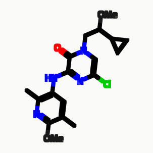 COc1nc(C)c(Nc2nc(Cl)cn(CC(OC)C3CC3)c2=O)cc1C